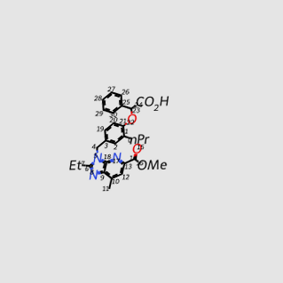 CCCc1cc(Cn2c(CC)nc3c(C)cc(C(=O)OC)nc32)ccc1OC(C(=O)O)c1ccccc1